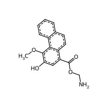 COc1c(O)cc(C(=O)OCN)c2ccc3ccccc3c12